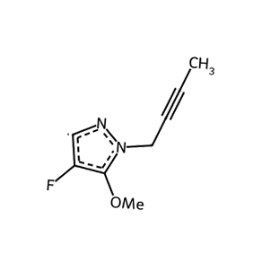 CC#CCn1n[c]c(F)c1OC